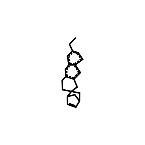 CCc1ccc2cc3c(cc2c1)CCC1(C3)CC2C=CC1C2